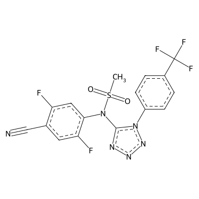 CS(=O)(=O)N(c1cc(F)c(C#N)cc1F)c1nnnn1-c1ccc(C(F)(F)F)cc1